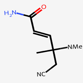 CNC(C)(C=CC(N)=O)CC#N